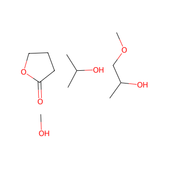 CC(C)O.CO.COCC(C)O.O=C1CCCO1